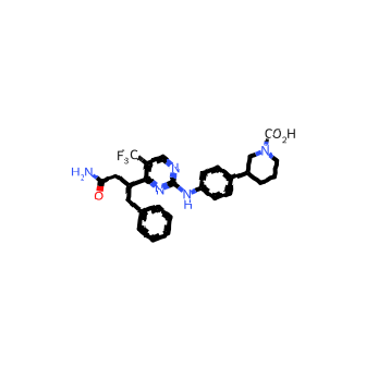 NC(=O)CC(Cc1ccccc1)c1nc(Nc2ccc(C3CCCN(C(=O)O)C3)cc2)ncc1C(F)(F)F